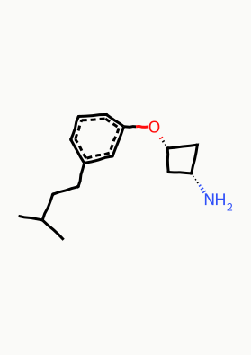 CC(C)CCc1cccc(O[C@H]2C[C@@H](N)C2)c1